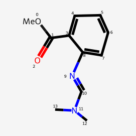 COC(=O)c1ccccc1N=CN(C)C